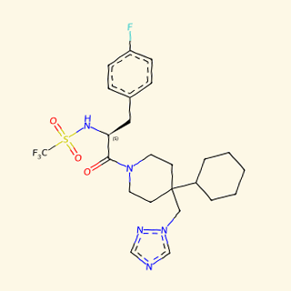 O=C([C@H](Cc1ccc(F)cc1)NS(=O)(=O)C(F)(F)F)N1CCC(Cn2cncn2)(C2CCCCC2)CC1